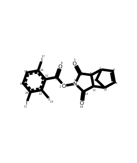 O=C(ON1C(=O)C2C3C=CC(C3)C2C1=O)c1c(I)ccc(I)c1I